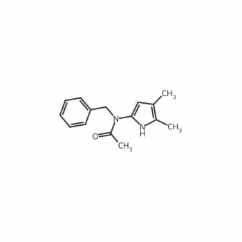 CC(=O)N(Cc1ccccc1)c1[c]c(C)c(C)[nH]1